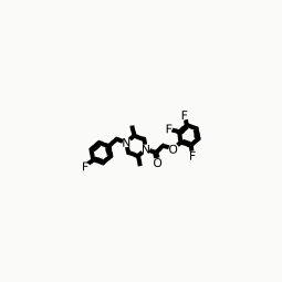 CC1CN(C(=O)COc2c(F)ccc(F)c2F)C(C)CN1Cc1ccc(F)cc1